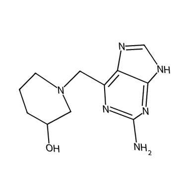 Nc1nc(CN2CCCC(O)C2)c2nc[nH]c2n1